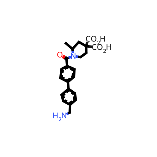 CC1CC(C(=O)O)(C(=O)O)CCN1C(=O)c1ccc(-c2ccc(CN)cc2)cc1